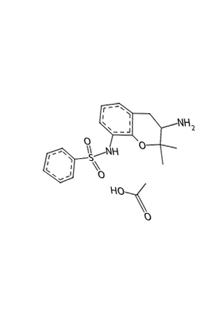 CC(=O)O.CC1(C)Oc2c(cccc2NS(=O)(=O)c2ccccc2)CC1N